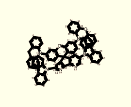 c1ccc2c(c1)Cc1ccccc1N2c1ccc2c(c1)Oc1cc(N3c4ccccc4Oc4ccccc43)ccc1C21c2cc(-n3c4ccccc4c4ccccc43)cnc2-c2ncc(-n3c4ccccc4c4ccccc43)cc21